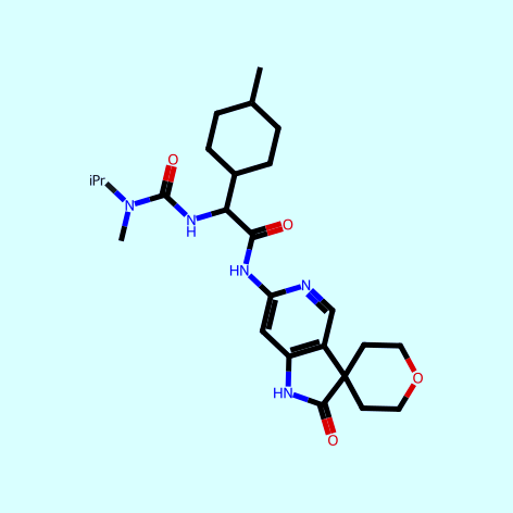 CC1CCC(C(NC(=O)N(C)C(C)C)C(=O)Nc2cc3c(cn2)C2(CCOCC2)C(=O)N3)CC1